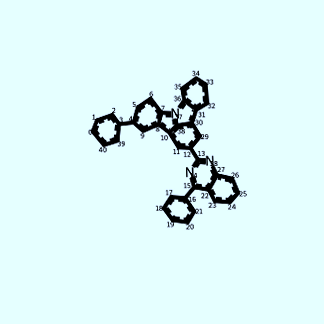 c1ccc(-c2ccc3c(c2)c2cc(-c4nc(-c5ccccc5)c5ccccc5n4)cc4c5ccccc5n3c42)cc1